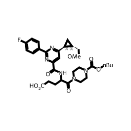 CCCCOC(=O)N1CCN(C(=O)C(CCC(=O)O)NC(=O)c2cc([C@H]3C[C@@H]3COC)nc(-c3ccc(F)cc3)n2)CC1